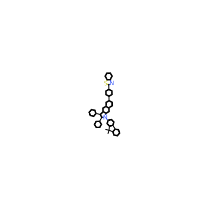 CC1(C)c2ccccc2-c2ccc(-n3c(-c4ccccc4)c(-c4ccccc4)c4cc5cc(-c6ccc(-c7nc8ccccc8s7)cc6)ccc5cc43)cc21